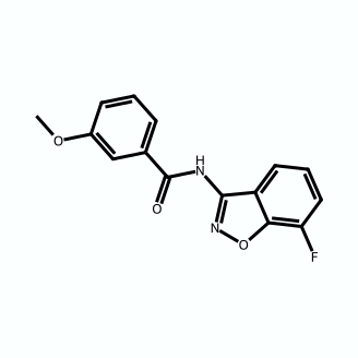 COc1cccc(C(=O)Nc2noc3c(F)cccc23)c1